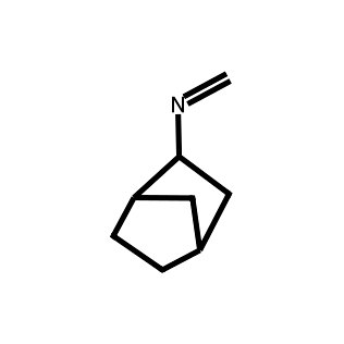 C=NC1CC2CCC1C2